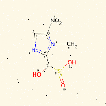 Cn1c([N+](=O)[O-])cnc1C(O)S(=O)O